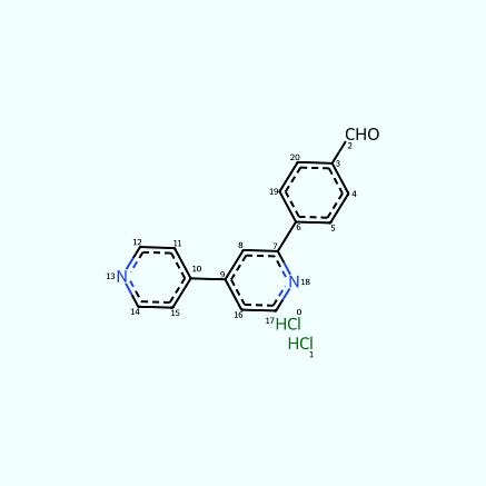 Cl.Cl.O=Cc1ccc(-c2cc(-c3ccncc3)ccn2)cc1